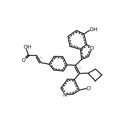 O=C(O)/C=C/c1ccc(/C(=C(\c2ccncc2Cl)C2CCC2)c2coc3c(O)cccc23)cc1